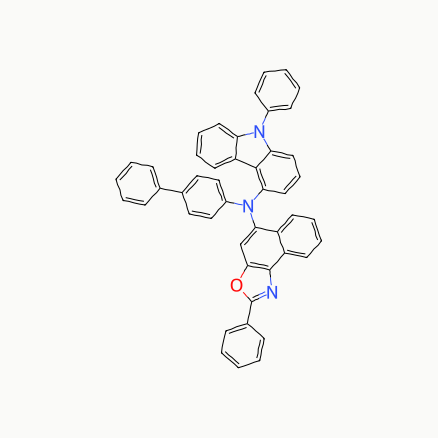 c1ccc(-c2ccc(N(c3cc4oc(-c5ccccc5)nc4c4ccccc34)c3cccc4c3c3ccccc3n4-c3ccccc3)cc2)cc1